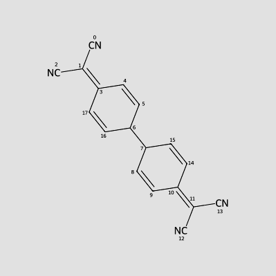 N#CC(C#N)=C1C=CC(C2C=CC(=C(C#N)C#N)C=C2)C=C1